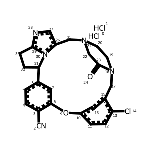 Cl.Cl.N#Cc1ccc2cc1Oc1ccc(Cl)c(c1)CN1CCN(CC1=O)Cc1cnc3n1C2CC3